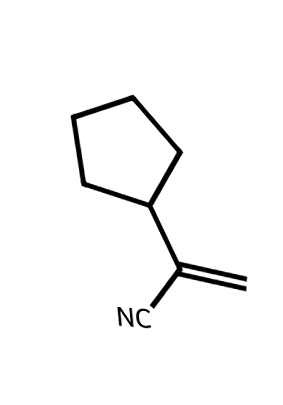 C=C(C#N)C1CCCC1